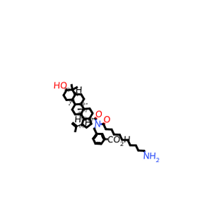 C=C(C)[C@@H]1CC[C@]2(C(=O)N(Cc3cccc(C(=O)O)c3)C(=O)CCCCCCCCCCN)CC[C@]3(C)[C@H](CCC4[C@@]5(C)CC[C@H](O)C(C)(C)[C@@H]5CC[C@]43C)[C@@H]12